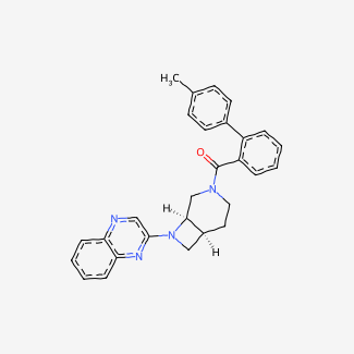 Cc1ccc(-c2ccccc2C(=O)N2CC[C@H]3CN(c4cnc5ccccc5n4)[C@H]3C2)cc1